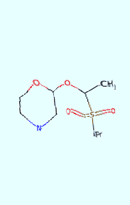 CC(C)S(=O)(=O)C(C)OC1C[N]CCO1